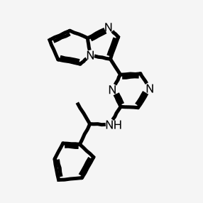 CC(Nc1cncc(-c2cnc3ccccn23)n1)c1ccccc1